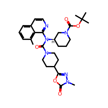 Cc1cccc2ccnc(N(C(=O)N3CCC(c4nn(C)c(=O)o4)CC3)[C@@H]3CCCN(C(=O)OC(C)(C)C)C3)c12